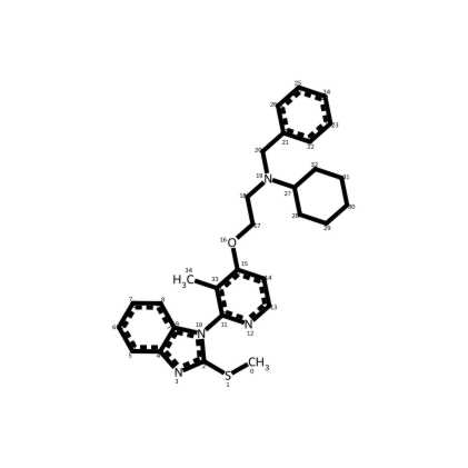 CSc1nc2ccccc2n1-c1nccc(OCCN(Cc2ccccc2)C2CCCCC2)c1C